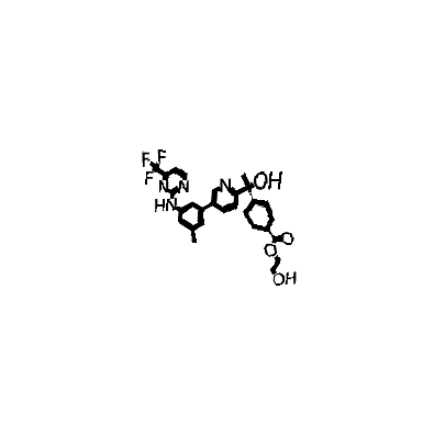 Cc1cc(Nc2nccc(C(F)(F)F)n2)cc(-c2ccc(C(C)(O)[C@H]3CC[C@H](C(=O)OCCO)CC3)nc2)c1